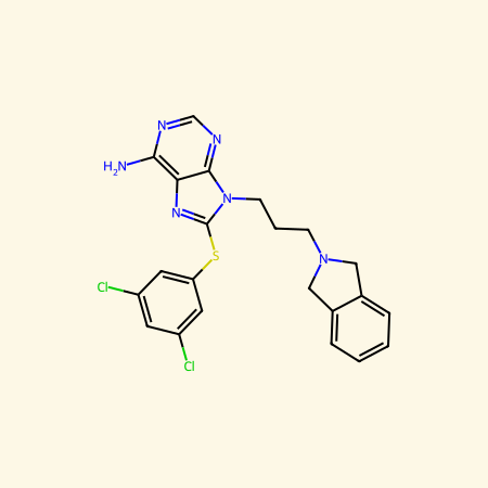 Nc1ncnc2c1nc(Sc1cc(Cl)cc(Cl)c1)n2CCCN1Cc2ccccc2C1